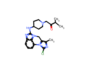 Cc1nc(Cl)n2c1Cn1c(NC3CCN(CC(=O)C(C)C)CC3)nc3cccc-2c31